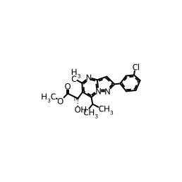 COC(=O)[C@@H](O)c1c(C)nc2cc(-c3cccc(Cl)c3)nn2c1C(C)C